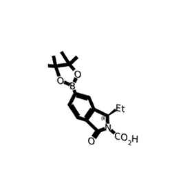 CC[C@@H]1c2cc(B3OC(C)(C)C(C)(C)O3)ccc2C(=O)N1C(=O)O